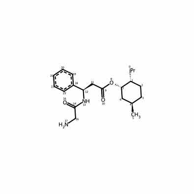 CC(C)[C@@H]1CC[C@@H](C)C[C@@H]1OC(=O)C[C@@H](NC(=O)CN)c1ccccc1